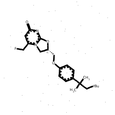 CC(C)(C)CC(C)(C)c1ccc(OC[C@@H]2Cn3c(CF)cc(=O)nc3O2)cc1